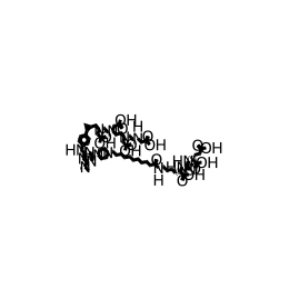 CN(C)c1nc(Nc2ccc(C3CC3CN(CCN(CCN(CCNCC(=O)O)CC(=O)O)CC(=O)O)CC(=O)O)cc2)nc(N2CCN(CCCCCCCCCCC(=O)NCCCC[C@H](NC(=O)N[C@@H](CCC(=O)O)C(=O)O)C(=O)O)CC2)n1